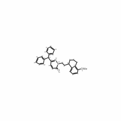 COc1cccc2c1CCCC2CCn1nc(C(c2ccccc2)c2ccccc2)ccc1=O